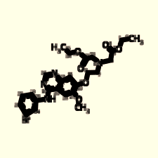 CCOC(=O)CN(CCOc1cc2ncnc(Nc3cccc(Br)c3)c2cc1OC)CC(=O)OCC